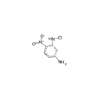 Nc1ccc([N+](=O)[O-])c(NCl)c1